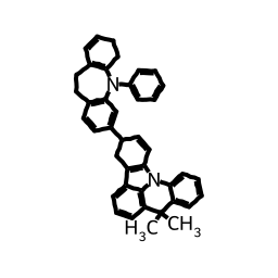 CC1(C)c2ccccc2-n2c3c(c4cccc1c42)CC(c1ccc2c(c1)N(c1ccccc1)C1=C(C=CCC1)CC2)C=C3